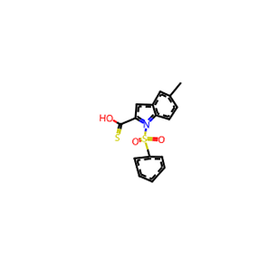 Cc1ccc2c(c1)cc(C(O)=S)n2S(=O)(=O)c1ccccc1